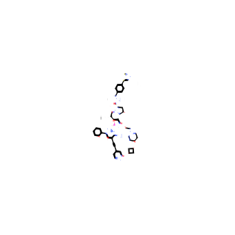 Cc1ncsc1-c1ccc([C@H](C)NC(=O)[C@@H]2C[C@@H](O)CN2C(=O)[C@@H](c2cc(OCCN3CCC(O[C@H]4C[C@H](Oc5cc(C#Cc6cc(-c7ccccc7O)nnc6N)ccn5)C4)CC3)no2)C(C)C)cc1